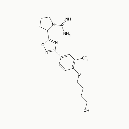 N=C(N)N1CCCC1c1nc(-c2ccc(OCCCCO)c(C(F)(F)F)c2)no1